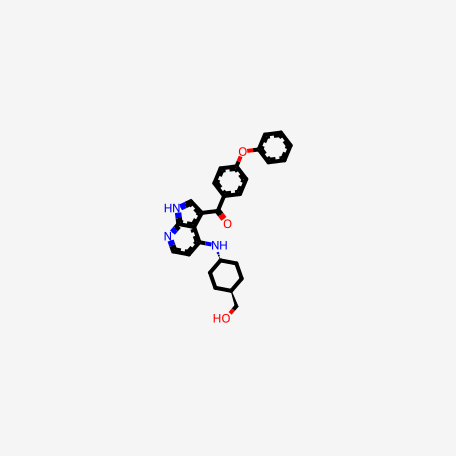 O=C(c1ccc(Oc2ccccc2)cc1)c1c[nH]c2nccc(N[C@H]3CC[C@H](CO)CC3)c12